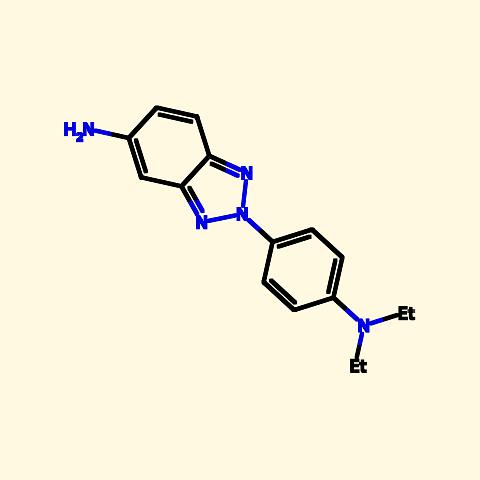 CCN(CC)c1ccc(-n2nc3ccc(N)cc3n2)cc1